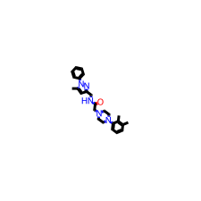 Cc1cccc(N2CCN(CC(=O)NCc3cc(C)n(-c4ccccc4)n3)CC2)c1C